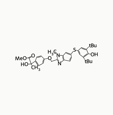 COC(=O)C(C)(O)c1ccc(OCc2nc3ccc(Sc4cc(C(C)(C)C)c(O)c(C(C)(C)C)c4)cc3n2C)cc1